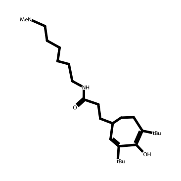 CNCCCCCCNC(=O)CCC1C=C(C(C)(C)C)C(O)=C(C(C)(C)C)CC1